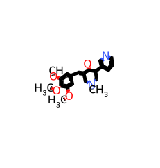 COc1cc(C=C2CN(C)CC(c3cccnc3)C2=O)cc(OC)c1OC